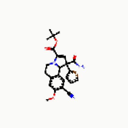 COc1cc2c(cc1C#N)C1N(CC2)C(C(=O)OC(C)(C)C)=CC1(C(N)=O)c1cccs1